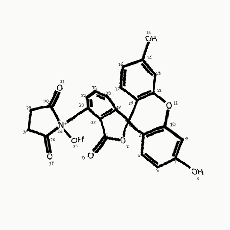 O=C1OC2(c3ccc(O)cc3Oc3cc(O)ccc32)c2cccc([N+]3(O)C(=O)CCC3=O)c21